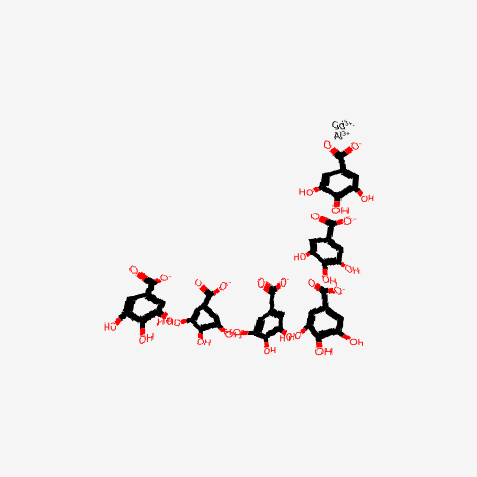 O=C([O-])c1cc(O)c(O)c(O)c1.O=C([O-])c1cc(O)c(O)c(O)c1.O=C([O-])c1cc(O)c(O)c(O)c1.O=C([O-])c1cc(O)c(O)c(O)c1.O=C([O-])c1cc(O)c(O)c(O)c1.O=C([O-])c1cc(O)c(O)c(O)c1.[Al+3].[Gd+3]